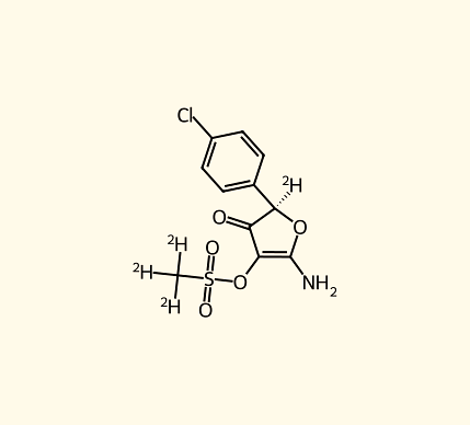 [2H]C([2H])([2H])S(=O)(=O)OC1=C(N)O[C@]([2H])(c2ccc(Cl)cc2)C1=O